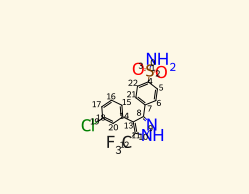 NS(=O)(=O)c1ccc(-c2n[nH]c(C(F)(F)F)c2-c2cccc(Cl)c2)cc1